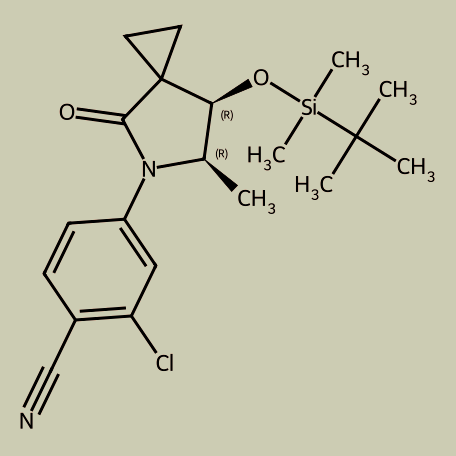 C[C@@H]1[C@H](O[Si](C)(C)C(C)(C)C)C2(CC2)C(=O)N1c1ccc(C#N)c(Cl)c1